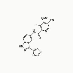 COc1c(C#N)cnc(C(=O)Nc2ccc3[nH]nc(-c4cnco4)c3c2)c1C